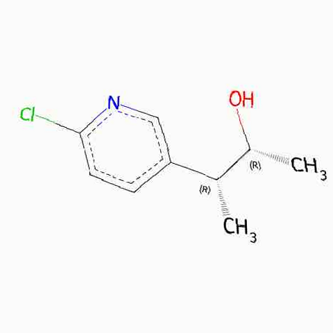 C[C@H](c1ccc(Cl)nc1)[C@@H](C)O